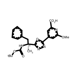 COc1cc(-c2nnc([C@](C)(Cc3ccccc3)NC(=O)OC(C)(C)C)o2)cc(C(=O)O)n1